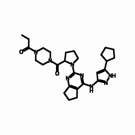 CCC(=O)N1CCN(C(=O)C2CCCN2c2nc3c(c(Nc4cc(C5CCCC5)[nH]n4)n2)CCC3)CC1